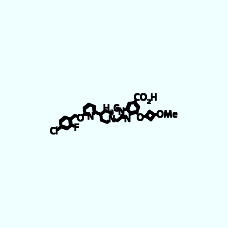 COC1CC(Oc2cc(C(=O)O)cc3c2nc(CN2CCC(c4cccc(OCc5ccc(Cl)cc5F)n4)CC2)n3C)C1